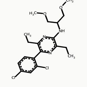 CCc1nc(-c2ccc(Cl)cc2Cl)c(CC)nc1NC(COC)COC